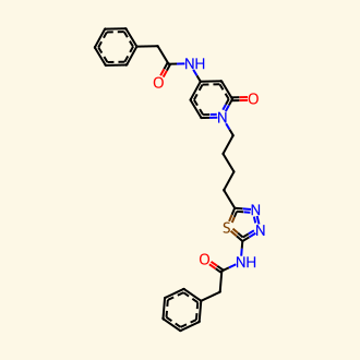 O=C(Cc1ccccc1)Nc1ccn(CCCCc2nnc(NC(=O)Cc3ccccc3)s2)c(=O)c1